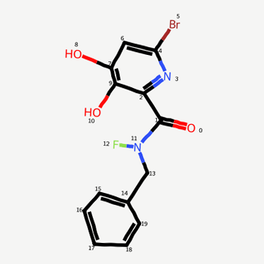 O=C(c1nc(Br)cc(O)c1O)N(F)Cc1ccccc1